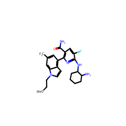 COCCn1ccc2c(-c3nc(NC4CCCCC4N)c(F)cc3C(N)=O)cc(C(F)(F)F)cc21